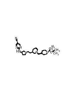 CC(C)(C)OC(=O)N1CCC(CN2CCCC(CCN3CCC(Nc4ncc(C#N)cn4)C3)C2)CC1